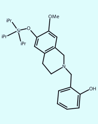 COc1cc2c(cc1O[Si](C(C)C)(C(C)C)C(C)C)CCN(Cc1ccccc1O)C2